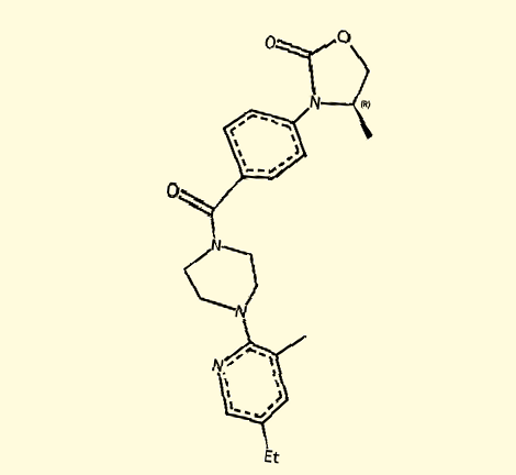 CCc1cnc(N2CCN(C(=O)c3ccc(N4C(=O)OC[C@H]4C)cc3)CC2)c(C)c1